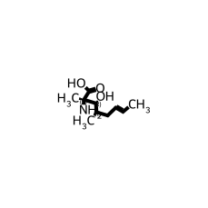 CC=CC[C@@H](C)[C@@H](O)[C@](C)(N)C(=O)O